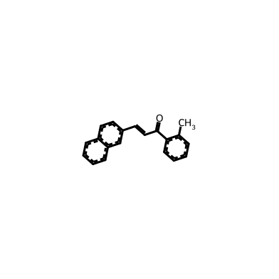 Cc1ccccc1C(=O)C=Cc1ccc2ccccc2c1